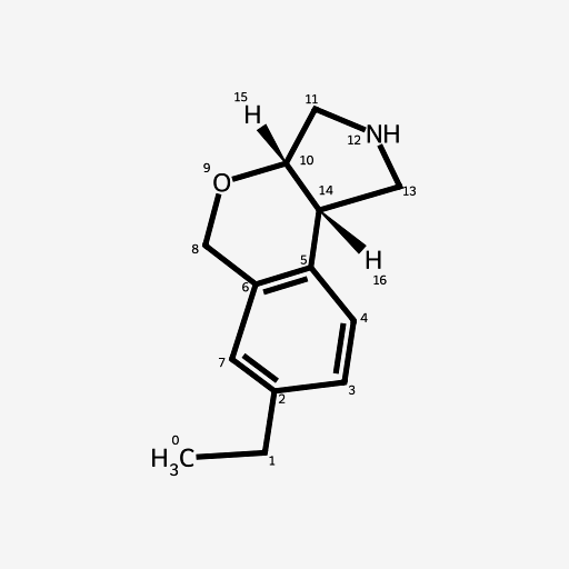 CCc1ccc2c(c1)CO[C@@H]1CNC[C@H]21